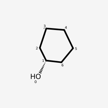 O[C@@H]1C[CH]CCC1